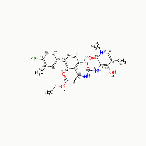 CCOC(=O)C[C@H](NC(=O)Nc1c(O)c(C)cn(C)c1=O)c1cccc(-c2ccc(F)c(C)c2)c1